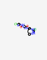 O=C(Nc1ccc2cc1CCC1C=CC=C(C1)Nc1ncc(Cl)c(n1)N2)C1CCN(C(=O)Nc2ccc(Cl)nc2)CC1